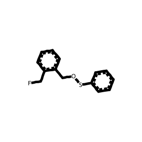 FCc1ccccc1COSc1ccccc1